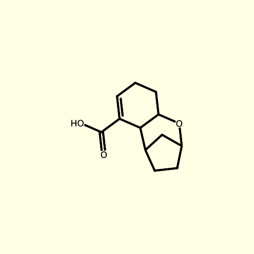 O=C(O)C1=CCCC2OC3CCC(C3)C12